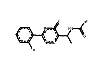 CCCC(=O)NC(C)c1nnc(-c2ccccc2O)[nH]c1=O